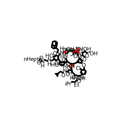 CCCCCCCS(=O)(=O)NCCNCc1c(O)cc2c(c1O)-c1cc(ccc1O)[C@H]1CC(=O)[C@@H]3NC(=O)[C@H](CC(=O)NC(=O)CC4CC4)CC(=O)[C@H](NC(=O)[C@H](CC)CC(C)C)[C@H](O)c4ccc(c(Cl)c4)Oc4cc3cc(c4O[C@@H]3O[C@H](CO)[C@@H](O)[C@H](O)[C@H]3O[C@H]3C[C@](C)(N)[C@H](O)[C@H](C)O3)Oc3ccc(cc3Cl)[C@@H](O)[C@H](NC1=O)C(=O)N[C@@H]2C(=O)CC1C2CC3CC(C2)CC1C3